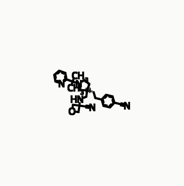 CC(C)(c1ccccn1)N1CC[C@@](CCc2ccc(C#N)cc2)(CNC2(C#N)COC2)C1